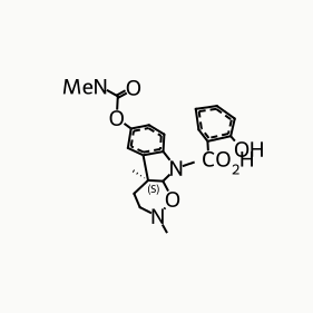 CNC(=O)Oc1ccc2c(c1)[C@]1(C)CCN(C)OC1N2C.O=C(O)c1ccccc1O